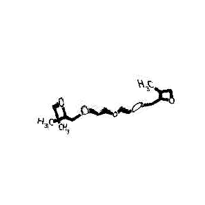 CC1COC1COCCOCCOCC1OCC1(C)C